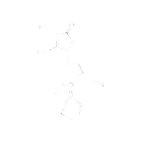 CC1=C(C)C(O/C=C(/C#N)n2ncc3ccccc32)OC1=O